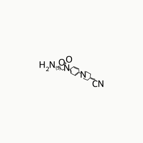 N#CC=C1CCN(c2ccc(N3C[C@H](CN)OC3=O)cc2)CC1